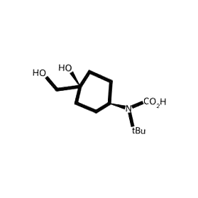 CC(C)(C)N(C(=O)O)[C@H]1CC[C@](O)(CO)CC1